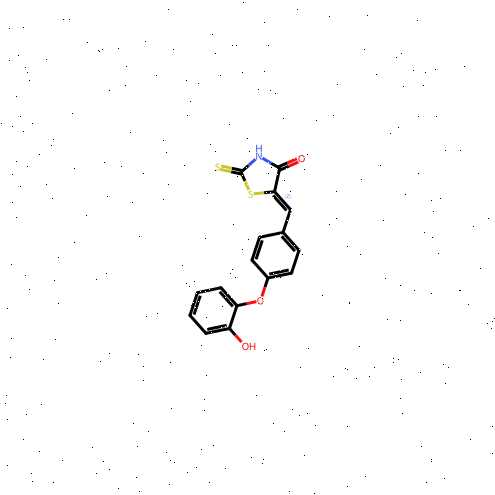 O=C1NC(=S)S/C1=C\c1ccc(Oc2ccccc2O)cc1